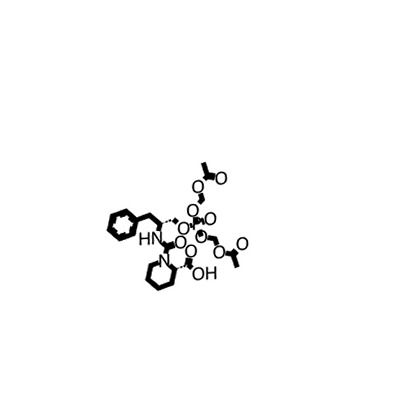 CC(=O)OCOP(=O)(OCOC(C)=O)OC[C@@H](Cc1ccccc1)NC(=O)N1CCCC[C@H]1C(=O)O